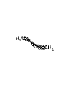 Cc1ccc(SOCCCOCOCCOSc2ccc(C)cc2)cc1